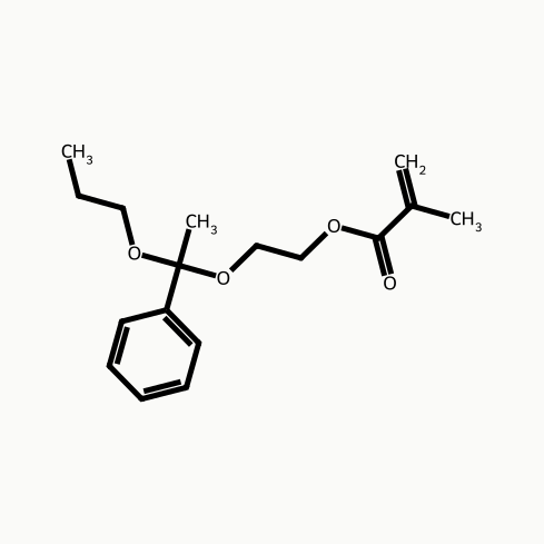 C=C(C)C(=O)OCCOC(C)(OCCC)c1ccccc1